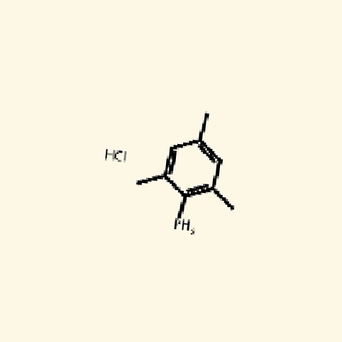 Cc1cc(C)c(P)c(C)c1.Cl